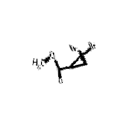 COC(=O)C1CC1(Br)Br